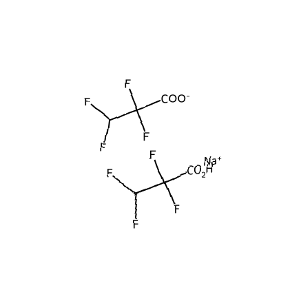 O=C(O)C(F)(F)C(F)F.O=C([O-])C(F)(F)C(F)F.[Na+]